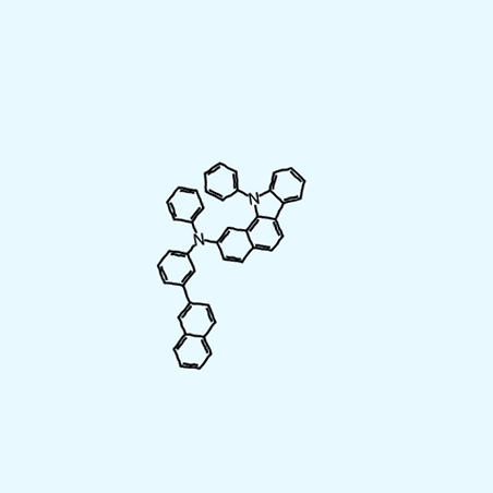 c1ccc(N(c2cccc(-c3ccc4ccccc4c3)c2)c2ccc3ccc4c5ccccc5n(-c5ccccc5)c4c3c2)cc1